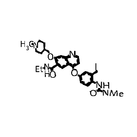 CCNC(=O)c1cc2c(Oc3ccc(NC(=O)NC)c(CI)c3)ccnc2cc1OCC1CCN(C)CC1